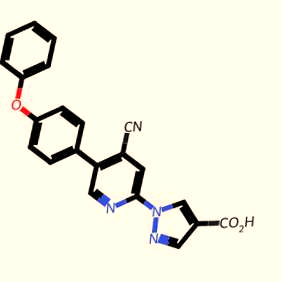 N#Cc1cc(-n2cc(C(=O)O)cn2)ncc1-c1ccc(Oc2ccccc2)cc1